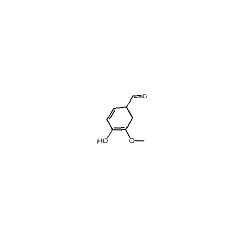 COC1=C(O)C=CC(C=O)C1